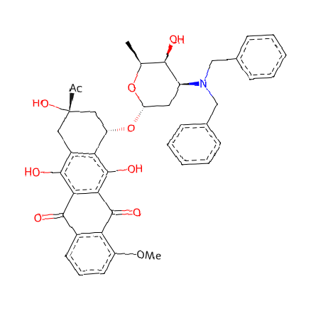 COc1cccc2c1C(=O)c1c(O)c3c(c(O)c1C2=O)C[C@@](O)(C(C)=O)C[C@@H]3O[C@H]1C[C@H](N(Cc2ccccc2)Cc2ccccc2)[C@H](O)[C@H](C)O1